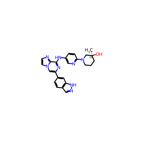 C[C@]1(O)CCCN(c2ccc(Nc3nc(-c4ccc5cn[nH]c5c4)cn4ccnc34)cn2)C1